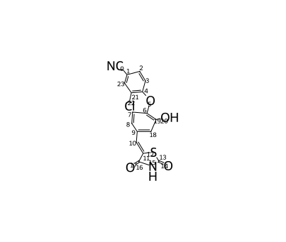 N#Cc1ccc(Oc2ccc(/C=C3\SC(=O)NC3=O)cc2O)c(Cl)c1